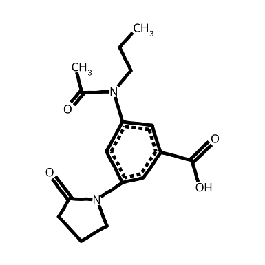 CCCN(C(C)=O)c1cc(C(=O)O)cc(N2CCCC2=O)c1